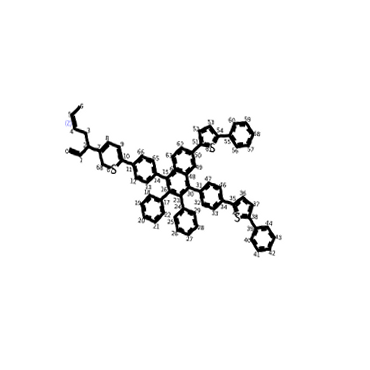 C=CC(C/C=C\C)C1=CC=C(c2ccc(-c3c(-c4ccccc4)c(-c4ccccc4)c(-c4ccc(-c5ccc(-c6ccccc6)s5)cc4)c4cc(-c5ccc(-c6ccccc6)s5)ccc34)cc2)SC1